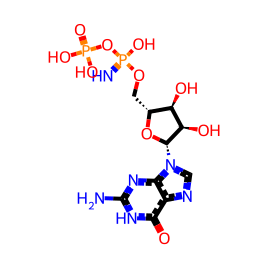 N=P(O)(OC[C@H]1O[C@@H](n2cnc3c(=O)[nH]c(N)nc32)[C@H](O)[C@@H]1O)OP(=O)(O)O